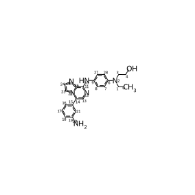 CCN(CCO)c1ccc(Nc2ncc(-c3cccc(N)c3)n3ccnc23)cc1